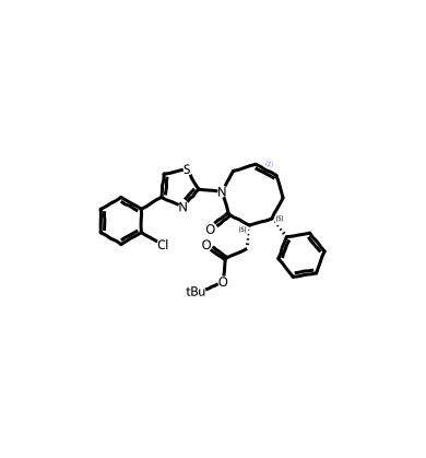 CC(C)(C)OC(=O)C[C@@H]1C(=O)N(c2nc(-c3ccccc3Cl)cs2)C/C=C\C[C@@H]1c1ccccc1